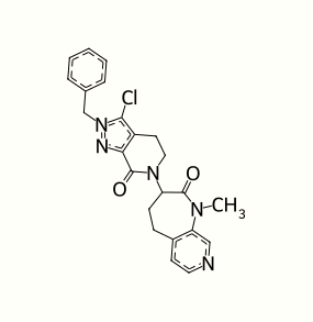 CN1C(=O)C(N2CCc3c(nn(Cc4ccccc4)c3Cl)C2=O)CCc2ccncc21